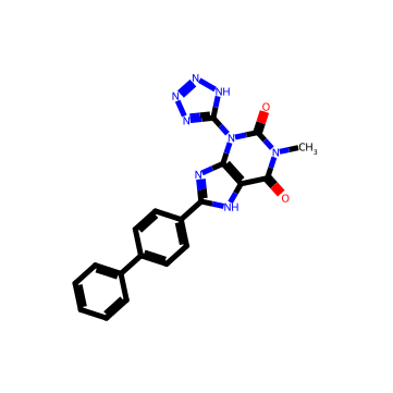 Cn1c(=O)c2[nH]c(-c3ccc(-c4ccccc4)cc3)nc2n(-c2nnn[nH]2)c1=O